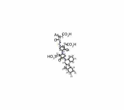 CC(=O)N(CC(=O)O)C(=O)S/C=c1/s/c(=c2/s/c(=C(/C=C3Sc4cc(C)c(C)cc4N3C)c3ccccc3)c(=O)n2CS(=O)(=O)O)c(=O)n1CC(=O)O